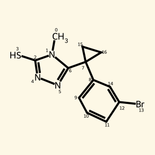 Cn1c(S)nnc1C1(c2cccc(Br)c2)CC1